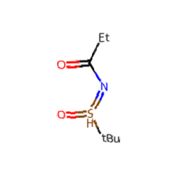 CCC(=O)/N=[SH](=O)/C(C)(C)C